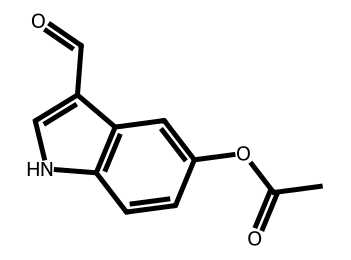 CC(=O)Oc1ccc2[nH]cc(C=O)c2c1